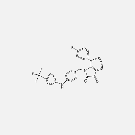 O=C1C(=O)N(Cc2ccc(Nc3ccc(C(F)(F)F)cc3)cc2)c2c1cccc2-c1ccc(F)cc1